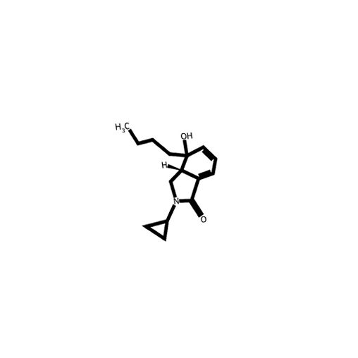 CCCCC1(O)C=CC=C2C(=O)N(C3CC3)C[C@@H]21